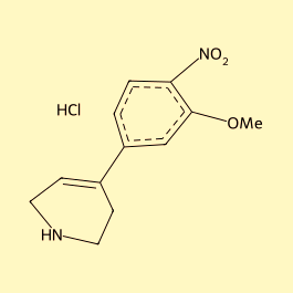 COc1cc(C2=CCNCC2)ccc1[N+](=O)[O-].Cl